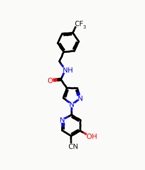 N#Cc1cnc(-n2cc(C(=O)NCc3ccc(C(F)(F)F)cc3)cn2)cc1O